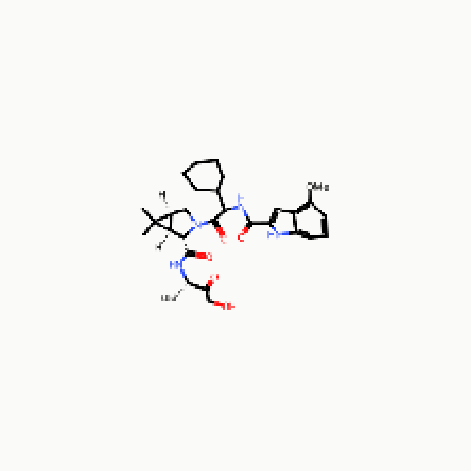 COc1cccc2[nH]c(C(=O)NC(C(=O)N3C[C@H]4[C@@H]([C@H]3C(=O)N[C@H](C(=O)CO)C(C)(C)C)C4(C)C)C3CCCCC3)cc12